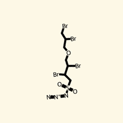 [N-]=[N+]=NS(=O)(=O)CC(Br)C(Br)COCC(Br)CBr